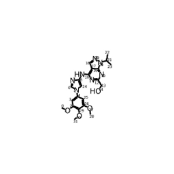 COc1cc(-n2cnc(Nc3nc(CO)nc4c3cnn4C(C)C)c2)cc(OC)c1OC